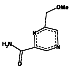 COCc1cncc(C(N)=O)n1